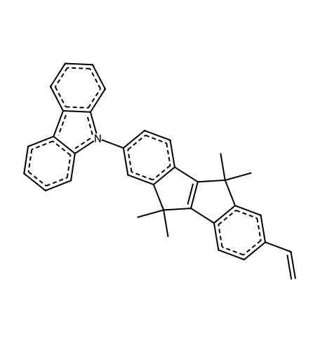 C=Cc1ccc2c(c1)C(C)(C)C1=C2C(C)(C)c2cc(-n3c4ccccc4c4ccccc43)ccc21